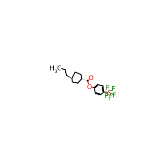 CCC[C@H]1CC[C@H](C(=O)Oc2ccc(S(F)(F)(F)(F)F)cc2)CC1